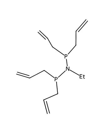 C=CCP(CC=C)N(CC)P(CC=C)CC=C